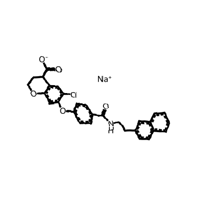 O=C(NCCc1ccc2ccccc2c1)c1ccc(Oc2cc3c(cc2Cl)C(C(=O)[O-])CCO3)cc1.[Na+]